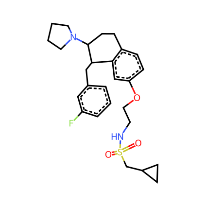 O=S(=O)(CC1CC1)NCCOc1ccc2c(c1)C(Cc1cccc(F)c1)C(N1CCCC1)CC2